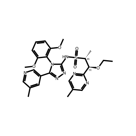 CCO[C@@H](c1ncc(C)cn1)[C@@H](C)S(=O)(=O)Nc1nnc(-c2cncc(C)c2)n1-c1c(OC)cccc1OC